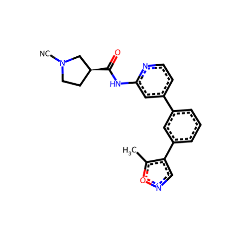 Cc1oncc1-c1cccc(-c2ccnc(NC(=O)[C@H]3CCN(C#N)C3)c2)c1